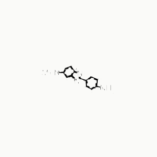 CNc1ccc2[nH]c(-c3ccc(N)cc3)nc2c1